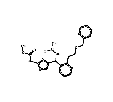 CC(C)(C)OC(=O)Nc1ncc([C@H](N[S@+]([O-])C(C)(C)C)c2ccccc2CCOCc2ccccc2)s1